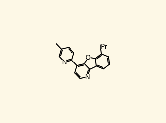 Cc1ccc(-c2ccnc3c2oc2c(C(C)C)cccc23)nc1